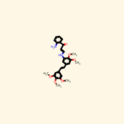 COc1cc(C=Cc2cc(OC)c(OC)c(OC)c2)cc(NC=CC(=O)c2ccccc2N)c1OC